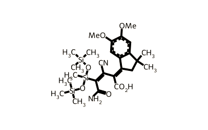 COc1cc2c(cc1OC)C(C)(C)CC2=C(C(=O)O)C(C#N)=C(C(N)=O)[Si](C)(O[Si](C)(C)C)O[Si](C)(C)C